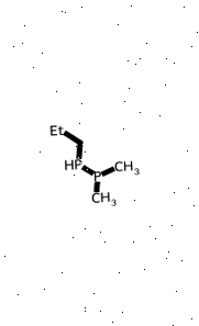 CCCPP(C)C